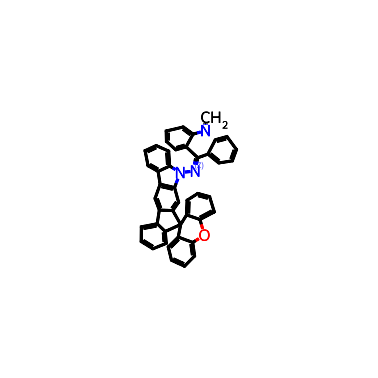 C=Nc1ccccc1/C(=N\n1c2ccccc2c2cc3c(cc21)C1(c2ccccc2Oc2ccccc21)c1ccccc1-3)c1ccccc1